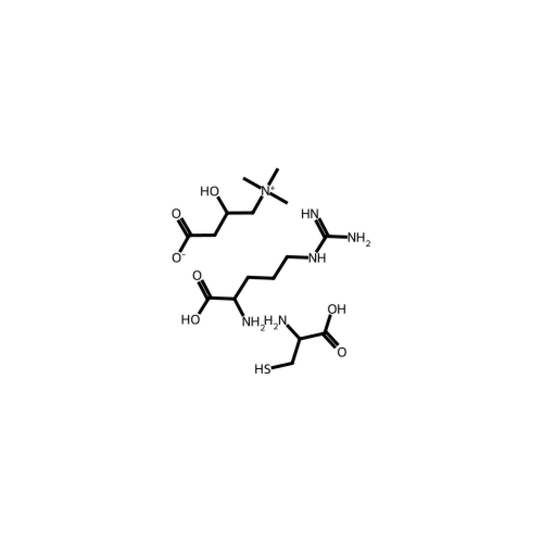 C[N+](C)(C)CC(O)CC(=O)[O-].N=C(N)NCCCC(N)C(=O)O.NC(CS)C(=O)O